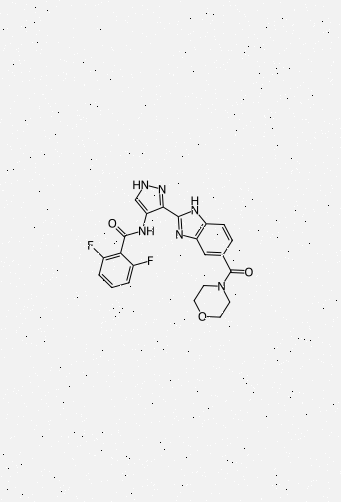 O=C(Nc1c[nH]nc1-c1nc2cc(C(=O)N3CCOCC3)ccc2[nH]1)c1c(F)cccc1F